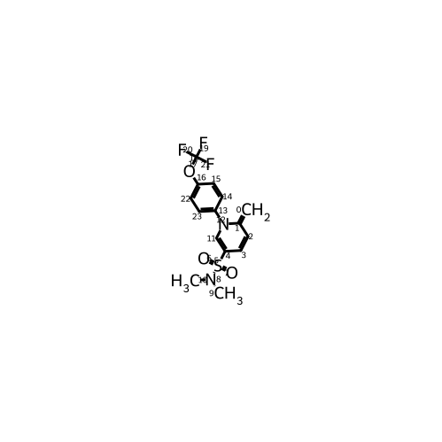 C=C1C=CC(S(=O)(=O)N(C)C)=CN1c1ccc(OC(F)(F)F)cc1